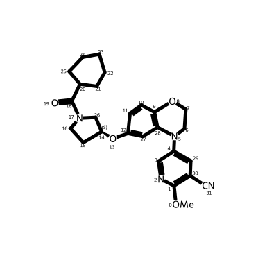 COc1ncc(N2CCOc3ccc(O[C@H]4CCN(C(=O)C5CCCCC5)C4)cc32)cc1C#N